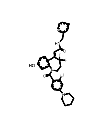 Cl.O=C(C=C1c2ccccc2N(C(=O)c2ccc(N3CCCCC3)cc2Cl)CCC1(F)F)NCc1ccccn1